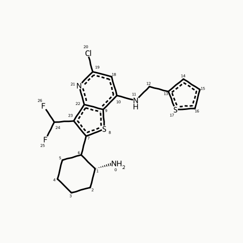 N[C@@H]1CCCCC1c1sc2c(NCc3cccs3)cc(Cl)nc2c1C(F)F